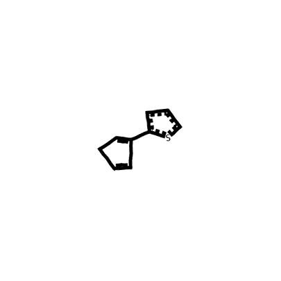 [C]1=CC(c2cccs2)=CC1